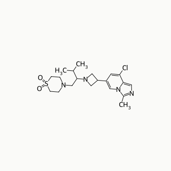 Cc1ncc2c(Cl)cc(C3CN(C(CN4CCS(=O)(=O)CC4)C(C)C)C3)cn12